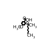 CCCCCC[C@H](C)Oc1cc(OC)ccc1C(=O)O